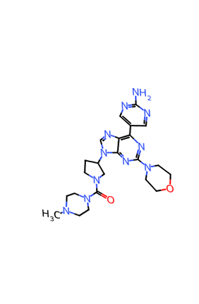 CN1CCN(C(=O)N2CCC(n3cnc4c(-c5cnc(N)nc5)nc(N5CCOCC5)nc43)C2)CC1